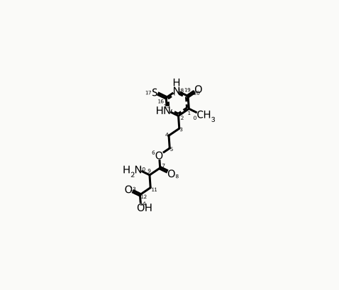 Cc1c(CCCOC(=O)C(N)CC(=O)O)[nH]c(=S)[nH]c1=O